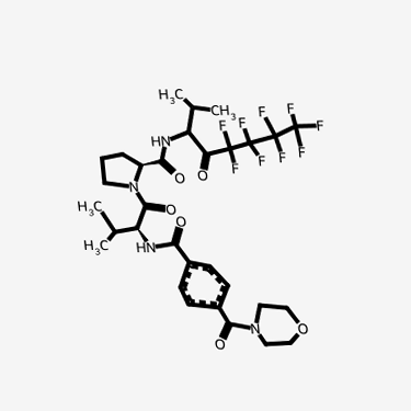 CC(C)C(NC(=O)[C@@H]1CCCN1C(=O)[C@@H](NC(=O)c1ccc(C(=O)N2CCOCC2)cc1)C(C)C)C(=O)C(F)(F)C(F)(F)C(F)(F)C(F)(F)F